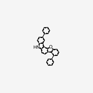 c1ccc(-c2ccc3[nH]c4ccc5c(oc6cccc(-c7ccccc7)c65)c4c3c2)cc1